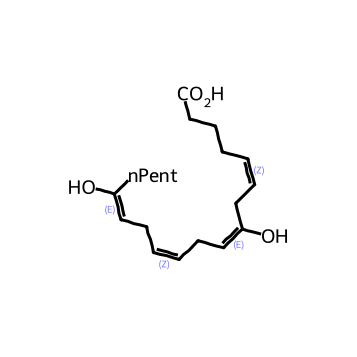 CCCCC/C(O)=C\C/C=C\C/C=C(/O)C/C=C\CCCC(=O)O